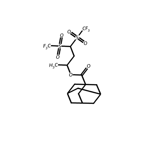 CC(CC(S(=O)(=O)C(F)(F)F)S(=O)(=O)C(F)(F)F)OC(=O)C12CC3CC(CC(C3)C1)C2